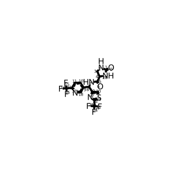 O=C1NCC(C(=O)NC(c2ccc(C(F)(F)F)nc2)c2csc(C(F)(F)F)n2)N1